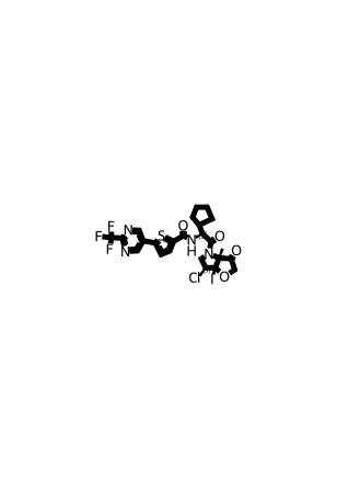 C[C@@]12C(=O)CO[C@]1(I)[C@@H](Cl)CN2C(=O)[C@@H](NC(=O)c1ccc(-c2cnc(C(F)(F)F)nc2)s1)C1CCCC1